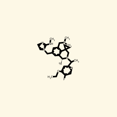 [2H][C@@H]1c2cc(Cn3ccnc3NC)cc(CN(C)C)c2C2(CC2)CN1C(C)c1cc(OCC)c(F)cn1